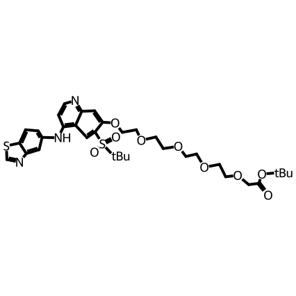 CC(C)(C)OC(=O)COCCOCCOCCOCCOc1cc2nccc(Nc3ccc4scnc4c3)c2cc1S(=O)(=O)C(C)(C)C